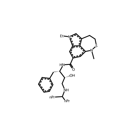 CCCC(CCC)NC[C@@H](O)[C@H](Cc1ccccc1)NC(=O)c1cc2c3c(cn(CC)c3c1)CCSN2C